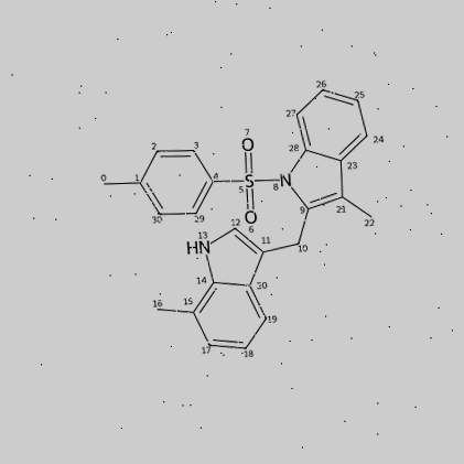 Cc1ccc(S(=O)(=O)n2c(Cc3c[nH]c4c(C)cccc34)c(C)c3ccccc32)cc1